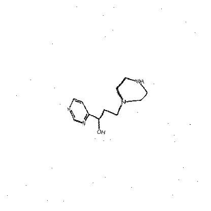 OC(CCN1CCNCC1)c1ccncn1